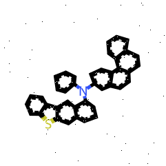 c1ccc(N(c2ccc3c(ccc4ccc5ccccc5c43)c2)c2cccc3cc4sc5ccccc5c4cc23)cc1